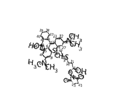 CN(C)c1ccc2c(c1)[Si](C)(CCSCCC(O)ON1C(=O)CCC1=O)C1=CC(=[N+](C)C)C=CC1=C2c1ccccc1C(=O)O